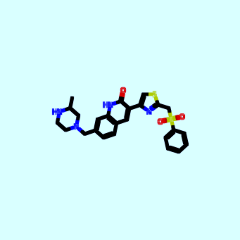 CC1CN(Cc2ccc3cc(-c4csc(CS(=O)(=O)c5ccccc5)n4)c(=O)[nH]c3c2)CCN1